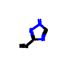 [SeH]c1nc[nH]n1